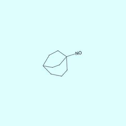 O=NC12CCCC(CC1)CC2